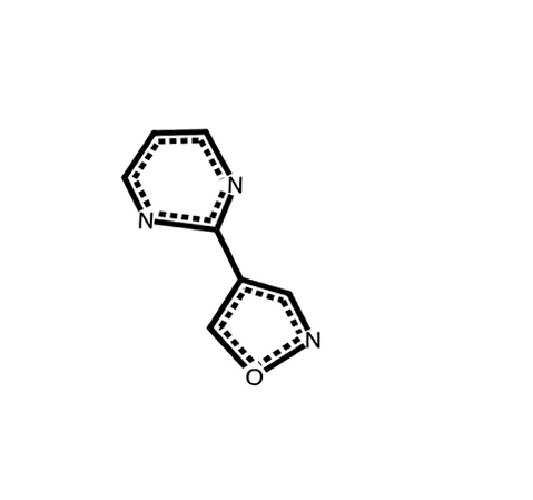 c1cnc(-c2cnoc2)nc1